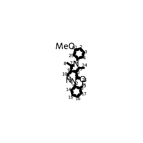 COc1cccc(-n2c(C)c3cnn(-c4ccccc4F)c(=O)c3c2C)c1